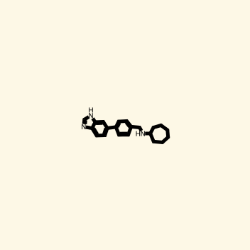 c1nc2ccc(-c3ccc(CNC4CCCCCC4)cc3)cc2[nH]1